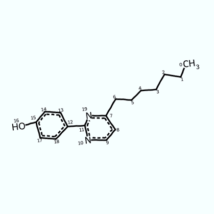 CCCCCCCc1ccnc(-c2ccc(O)cc2)n1